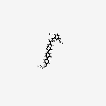 Cc1ccc(OC(F)(F)F)cc1CNC(=O)c1cn2cc(-c3ccc(C4CCC(CC(=O)O)CC4)cc3)sc2n1